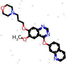 COc1cc2c(Oc3ccc4cccnc4c3)ncnc2cc1OCCCN1CCOCC1